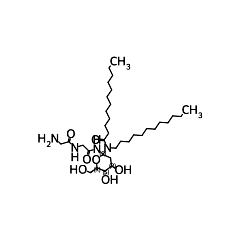 CCCCCCCCCCCCN(C(=O)CCCCCCCCCCC)[C@@]1(NC(=O)CNC(=O)CN)C[C@@H](O)[C@H](O)[C@@H](CO)O1